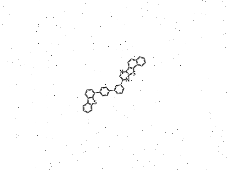 c1cc(-c2ccc(-c3cccc4c3sc3ccccc34)cc2)cc(-c2cnc3c(n2)sc2c4ccccc4ccc32)c1